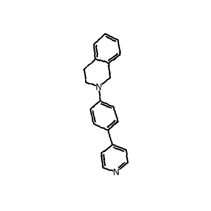 c1ccc2c(c1)CCN(c1ccc(-c3ccncc3)cc1)C2